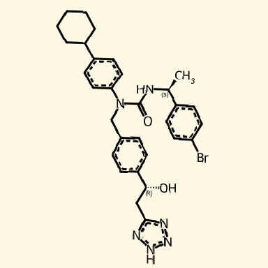 C[C@H](NC(=O)N(Cc1ccc([C@H](O)Cc2nn[nH]n2)cc1)c1ccc(C2CCCCC2)cc1)c1ccc(Br)cc1